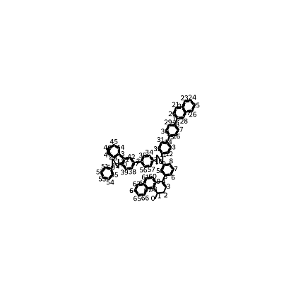 CC1CC=C(c2cccc(N(c3ccc(-c4ccc(-c5ccc6ccccc6c5)cc4)cc3)c3ccc(-c4ccc5c(c4)c4ccc#cc4n5-c4ccccc4)cc3)c2)c2ccc3ccccc3c21